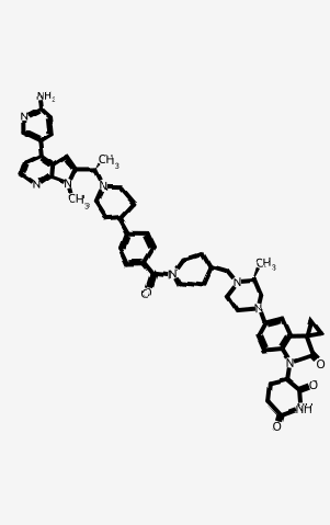 C[C@H]1CN(c2ccc3c(c2)C2(CC2)C(=O)N3C2CCC(=O)NC2=O)CCN1CC1CCN(C(=O)c2ccc(C3CCN([C@@H](C)c4cc5c(-c6ccc(N)nc6)ccnc5n4C)CC3)cc2)CC1